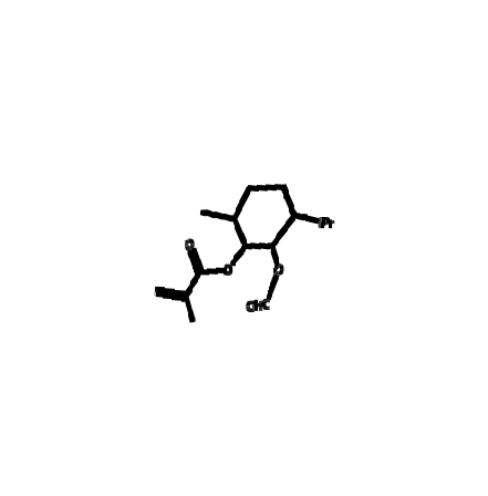 C=C(C)C(=O)OC1C(C)CCC(C(C)C)C1OC=O